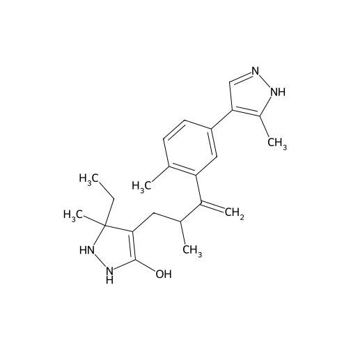 C=C(c1cc(-c2cn[nH]c2C)ccc1C)C(C)CC1=C(O)NNC1(C)CC